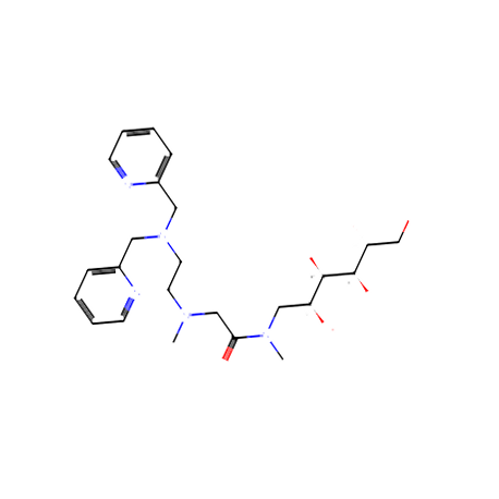 CN(CCN(Cc1ccccn1)Cc1ccccn1)CC(=O)N(C)C[C@H](O)[C@@H](O)[C@H](O)[C@H](O)CO